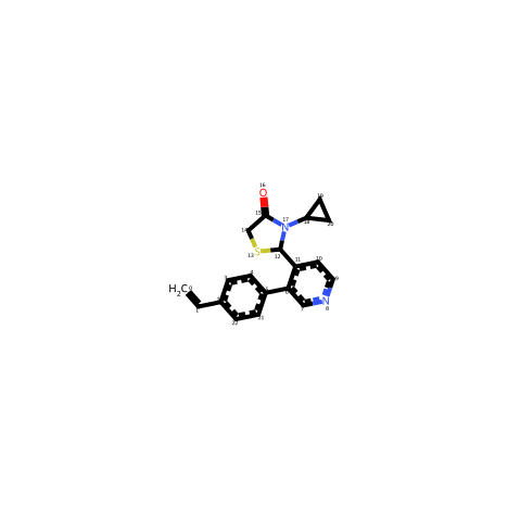 C=Cc1ccc(-c2cnccc2C2SCC(=O)N2C2CC2)cc1